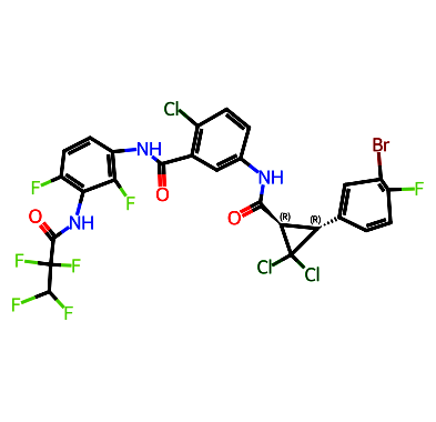 O=C(Nc1ccc(F)c(NC(=O)C(F)(F)C(F)F)c1F)c1cc(NC(=O)[C@H]2[C@H](c3ccc(F)c(Br)c3)C2(Cl)Cl)ccc1Cl